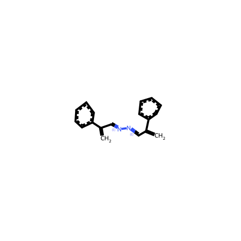 C=C(/C=N/N=C/C(=C)c1ccccc1)c1ccccc1